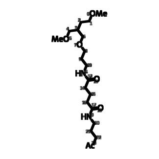 COCCC(COC)COCCCNC(=O)CCCC(=O)NCCCC(C)=O